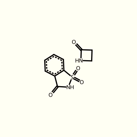 O=C1CCN1.O=C1NS(=O)(=O)c2ccccc21